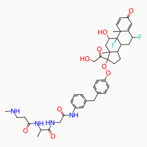 CNCCC(=O)NC(C)C(=O)NCC(=O)Nc1cccc(Cc2ccc(OOC3(C(=O)CO)CCC4C5C[C@H](F)C6=CC(=O)C=CC6(C)[C@@]5(F)C(O)CC43C)cc2)c1